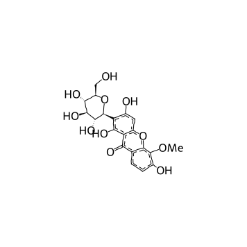 COc1c(O)ccc2c(=O)c3c(O)c([C@@H]4O[C@H](CO)[C@@H](O)[C@H](O)[C@H]4O)c(O)cc3oc12